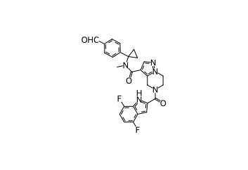 CN(C(=O)c1cnn2c1CN(C(=O)c1cc3c(F)ccc(F)c3[nH]1)CC2)C1(c2ccc(C=O)cc2)CC1